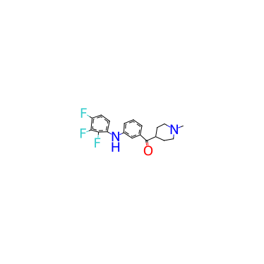 CN1CCC(C(=O)c2cccc(Nc3ccc(F)c(F)c3F)c2)CC1